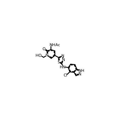 CC(=O)Nc1cc(-c2nnc(Nc3ccc4[nH]ncc4c3Cl)s2)cn(CO)c1=O